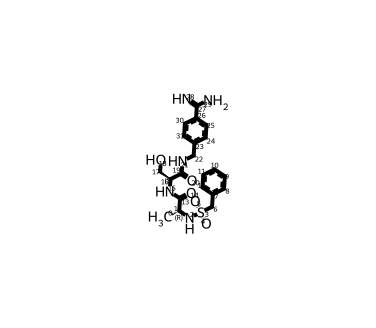 C[C@@H](NS(=O)(=O)Cc1ccccc1)C(=O)N[C@@H](CO)C(=O)NCc1ccc(C(=N)N)cc1